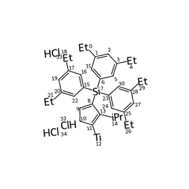 CCc1cc(CC)cc([Si](C2=CC[C]([Ti])=C2C(C)C)(c2cc(CC)cc(CC)c2)c2cc(CC)cc(CC)c2)c1.Cl.Cl.Cl